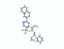 C=C/C(=C\C=C(/C)c1cc(-c2ccc3ccccc3c2)ncc1C(F)(F)F)c1ccccc1